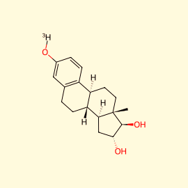 [3H]Oc1ccc2c(c1)CC[C@@H]1[C@@H]2CC[C@]2(C)[C@@H](O)[C@H](O)C[C@@H]12